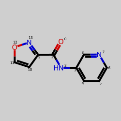 O=C(Nc1cccnc1)c1ccon1